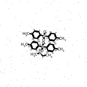 CCNC.Cc1ccc(S(=O)(=O)c2ccc(C)cc2)cc1.Cc1ccc(S(=O)(=O)c2ccc(C)cc2)cc1